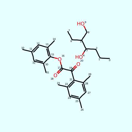 CCCC(O)C(CC)CO.Cc1cc(C)c(OC(=O)C(=O)c2c(C)cc(C)cc2C)c(C)c1